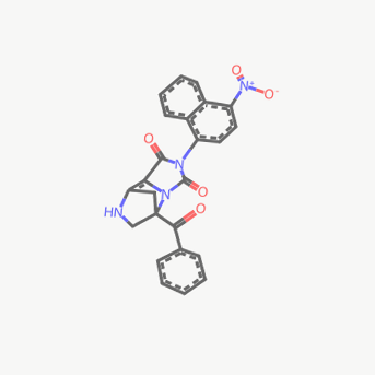 O=C1C2=C3CC(C(=O)c4ccccc4)(CN3)N2C(=O)N1c1ccc([N+](=O)[O-])c2ccccc12